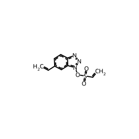 C=Cc1ccc2nnn(OS(=O)(=O)C=C)c2c1